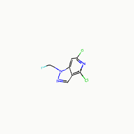 FCn1ncc2c(Cl)nc(Cl)cc21